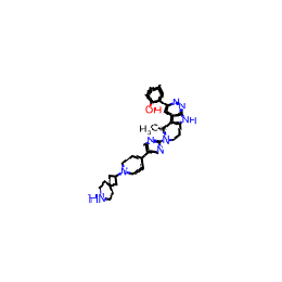 C[C@H]1c2c([nH]c3nnc(-c4ccccc4O)cc23)CCN1c1ncc(C2CCN(C3CC4(CCNCC4)C3)CC2)cn1